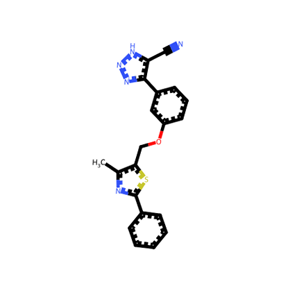 Cc1nc(-c2ccccc2)sc1COc1cccc(-c2nn[nH]c2C#N)c1